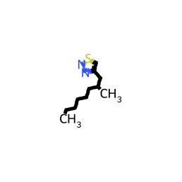 CCCCCCC(C)Cc1csnn1